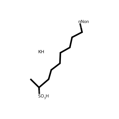 CCCCCCCCCCCCCCCCC(C)S(=O)(=O)O.[KH]